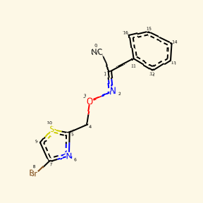 N#CC(=NOCc1nc(Br)cs1)c1ccccc1